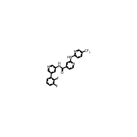 O=C(Nc1cncc(-c2cccc(F)c2F)c1)c1ccnc(Nc2ccc(C(F)(F)F)cn2)c1